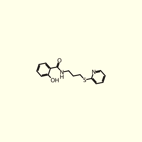 O=C(NCCCSc1ccccn1)c1ccccc1O